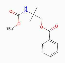 CC(C)(COC(=O)c1ccccc1)NC(=O)OC(C)(C)C